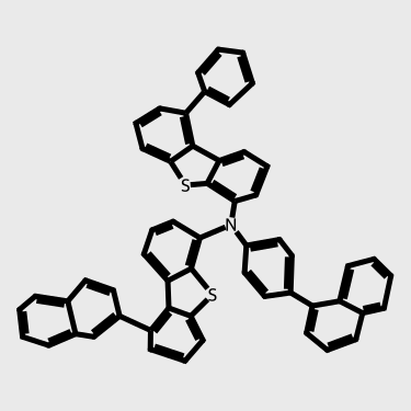 c1ccc(-c2cccc3sc4c(N(c5ccc(-c6cccc7ccccc67)cc5)c5cccc6c5sc5cccc(-c7ccc8ccccc8c7)c56)cccc4c23)cc1